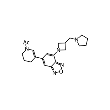 CC(=O)N1C=C(c2cc(N3CC(CN4CCCC4)C3)c3nonc3c2)CCC1